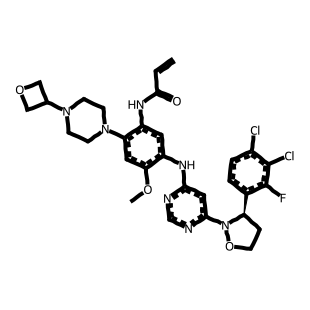 C=CC(=O)Nc1cc(Nc2cc(N3OCC[C@@H]3c3ccc(Cl)c(Cl)c3F)ncn2)c(OC)cc1N1CCN(C2COC2)CC1